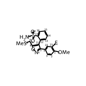 COc1ccc(-c2noc(CSC)c2-c2ccccc2S(N)(=O)=O)cc1F